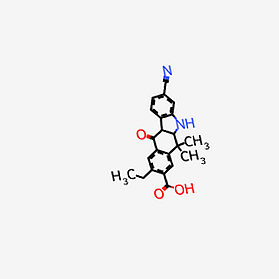 CCc1cc2c(cc1C(=O)O)C(C)(C)C1Nc3cc(C#N)ccc3C1C2=O